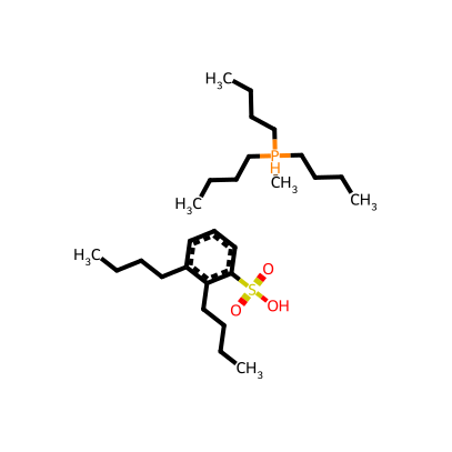 CCCC[PH](C)(CCCC)CCCC.CCCCc1cccc(S(=O)(=O)O)c1CCCC